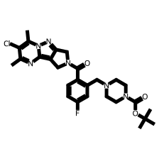 Cc1nc2c3c(nn2c(C)c1Cl)CN(C(=O)c1ccc(F)cc1CN1CCN(C(=O)OC(C)(C)C)CC1)C3